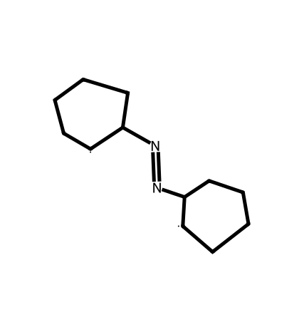 [CH]1CCCCC1N=NC1[CH]CCCC1